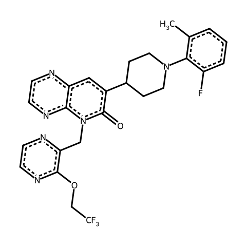 Cc1cccc(F)c1N1CCC(c2cc3nccnc3n(Cc3nccnc3OCC(F)(F)F)c2=O)CC1